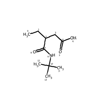 CCC(CC(=O)O)C(=O)NC(C)(C)C